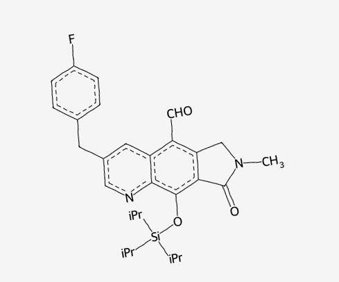 CC(C)[Si](Oc1c2c(c(C=O)c3cc(Cc4ccc(F)cc4)cnc13)CN(C)C2=O)(C(C)C)C(C)C